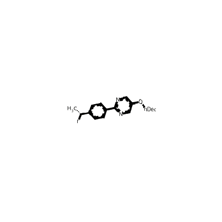 CCCCCCCCCCOc1cnc(-c2ccc([C@@H](C)F)cc2)nc1